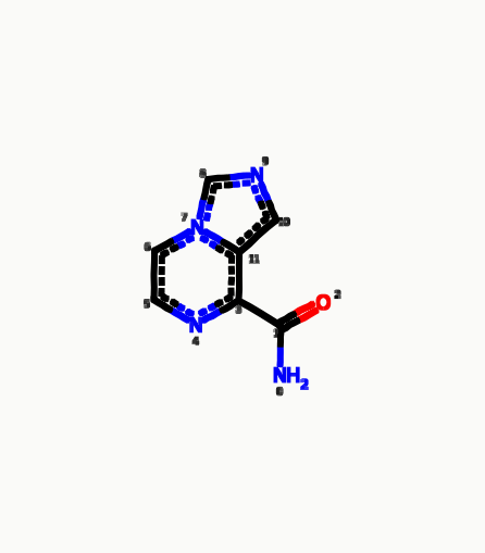 NC(=O)c1nccn2cncc12